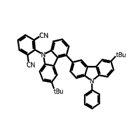 CC(C)(C)c1ccc2c(c1)c1cc(-c3cccc4c3c3cc(C(C)(C)C)ccc3n4-c3c(C#N)cccc3C#N)ccc1n2-c1ccccc1